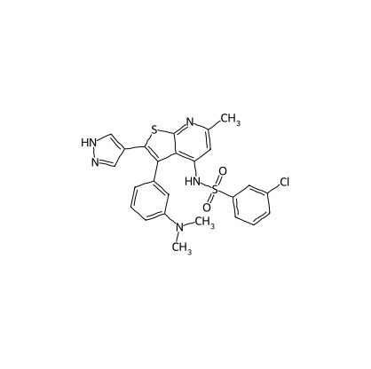 Cc1cc(NS(=O)(=O)c2cccc(Cl)c2)c2c(-c3cccc(N(C)C)c3)c(-c3cn[nH]c3)sc2n1